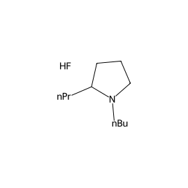 CCCCN1CCCC1CCC.F